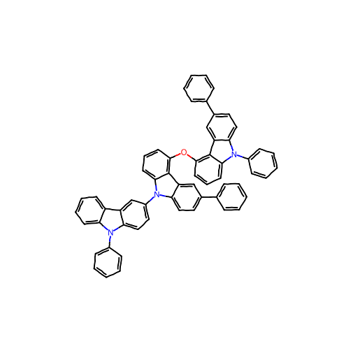 c1ccc(-c2ccc3c(c2)c2c(Oc4cccc5c4c4cc(-c6ccccc6)ccc4n5-c4ccc5c(c4)c4ccccc4n5-c4ccccc4)cccc2n3-c2ccccc2)cc1